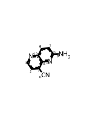 N#Cc1ccnc2ccc(N)nc12